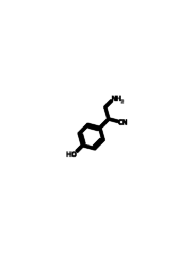 N#CC(CN)c1ccc(O)cc1